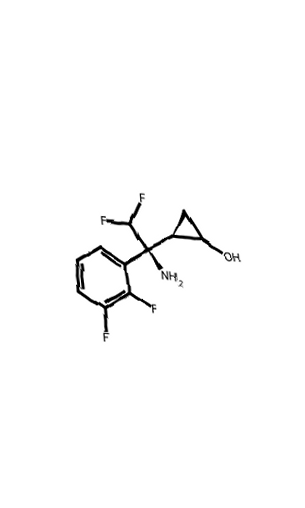 N[C@@](c1cccc(F)c1F)(C(F)F)[C@H]1CC1O